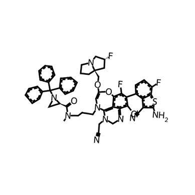 CN(CCCN1C=C(OC[C@@]23CCCN2C[C@H](F)C3)Oc2c(F)c(-c3ccc(F)c4sc(N)c(C#N)c34)c(Cl)c3c2=C1N(CC#N)CN=3)C(=O)[C@H]1CN1C(c1ccccc1)(c1ccccc1)c1ccccc1